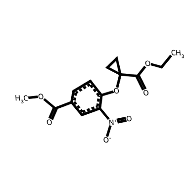 CCOC(=O)C1(Oc2ccc(C(=O)OC)cc2[N+](=O)[O-])CC1